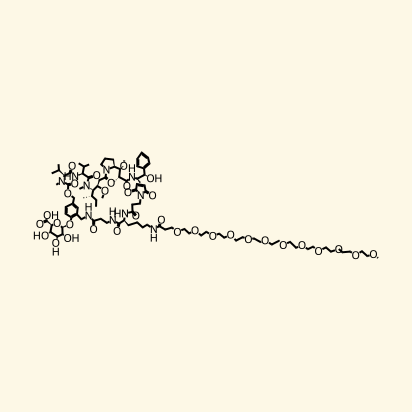 CC[C@H](C)[C@@H]([C@@H](CC(=O)N1CCC[C@H]1[C@H](OC)[C@@H](C)C(=O)N[C@H](C)[C@@H](O)c1ccccc1)OC)N(C)C(=O)[C@@H](NC(=O)[C@H](C(C)C)N(C)C(=O)OCc1ccc(O[C@@H]2O[C@H](C(=O)O)[C@@H](O)[C@H](O)[C@H]2O)c(CNC(=O)CCNC(=O)[C@H](CCCCNC(=O)CCOCCOCCOCCOCCOCCOCCOCCOCCOCCOCCOCCOC)NC(=O)CCN2C(=O)C=CC2=O)c1)C(C)C